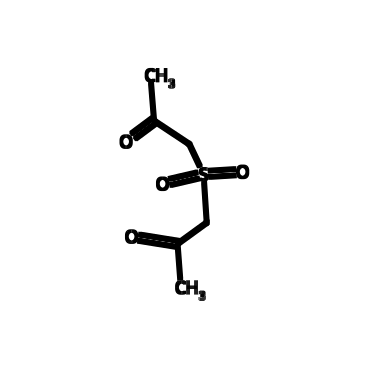 CC(=O)CS(=O)(=O)CC(C)=O